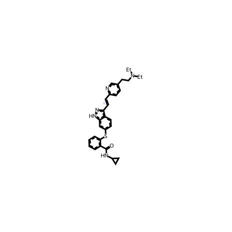 CCN(CC)CCc1ccc(/C=C/c2n[nH]c3cc(Sc4ccccc4C(=O)NC4CC4)ccc23)nc1